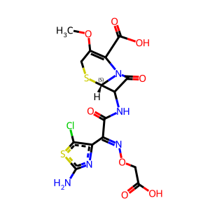 COC1=C(C(=O)O)N2C(=O)C(NC(=O)C(=NOCC(=O)O)c3nc(N)sc3Cl)[C@@H]2SC1